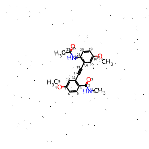 CNC(=O)c1ccc(OC)cc1C#Cc1cc(OC)ccc1NC(C)=O